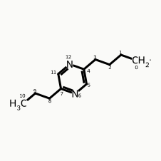 [CH2]CCCc1cnc(CCC)cn1